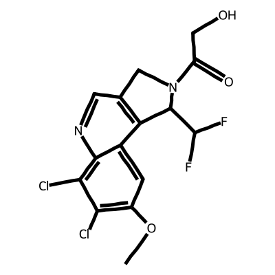 COc1cc2c3c(cnc2c(Cl)c1Cl)CN(C(=O)CO)C3C(F)F